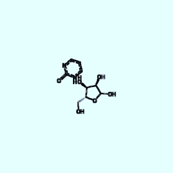 O=c1nccc[nH]1.OC[C@H]1OC(O)[C@H](O)[C@@H]1O